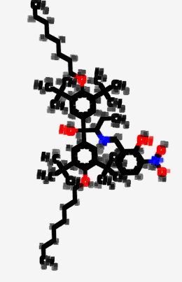 CCCCCCCCOc1c(C(C)(C)C)cc(C(O)(c2cc(C(C)(C)C)c(OCCCCCCCC)c(C(C)(C)C)c2)C(CC)N=Cc2cccc([N+](=O)[O-])c2O)cc1C(C)(C)C